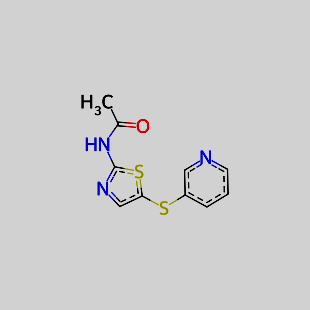 CC(=O)Nc1ncc(Sc2cccnc2)s1